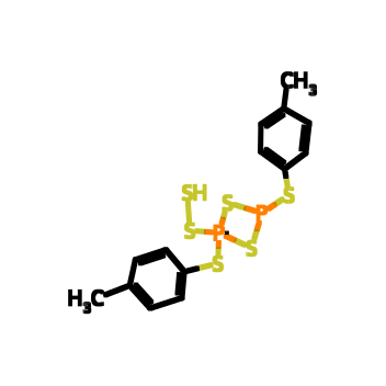 Cc1ccc(SP2S[P](SS)(Sc3ccc(C)cc3)S2)cc1